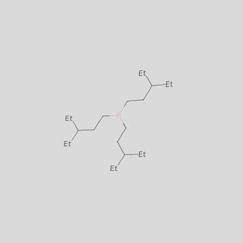 CCC(CC)CCB(CCC(CC)CC)CCC(CC)CC